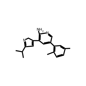 Cc1ccc(C)c(-c2cnc(N)c(C3=CC(C(C)C)=NC3)c2)c1